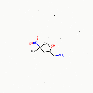 CC(C)(CC(O)CN)[N+](=O)[O-]